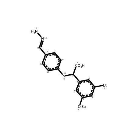 CCc1cc(OCC(C)C)cc(C(Nc2ccc(C=NN)cc2)C(=O)O)c1